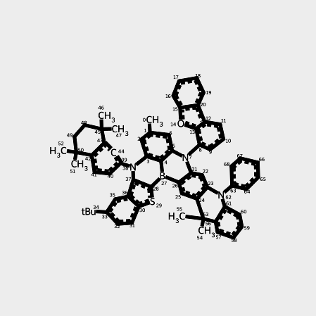 Cc1cc2c3c(c1)N(c1cccc4c1oc1ccccc14)c1cc4c(cc1B3c1sc3ccc(C(C)(C)C)cc3c1N2c1ccc2c(c1)C(C)(C)CCC2(C)C)C(C)(C)c1ccccc1N4c1ccccc1